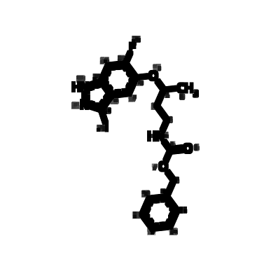 CC(CCNC(=O)OCc1ccccc1)Oc1cc2c(I)n[nH]c2cc1F